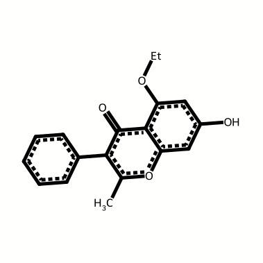 CCOc1cc(O)cc2oc(C)c(-c3ccccc3)c(=O)c12